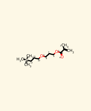 C=C(C)C(=O)OCCCOCCC[Si](C)(C)C